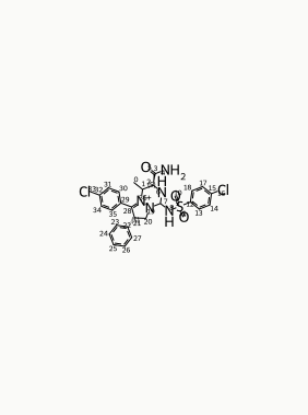 CC1[C@@H](C(N)=O)NC(NS(=O)(=O)c2ccc(Cl)cc2)N2C[C@H](c3ccccc3)C(c3ccc(Cl)cc3)=[N+]12